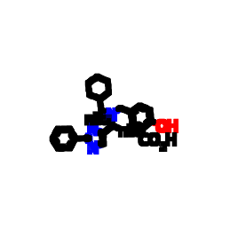 CCCCC(c1cnc(-c2ccccc2)n1CCCC)N(Cc1ccc(O)c(C(=O)O)c1)CC1CCCCC1